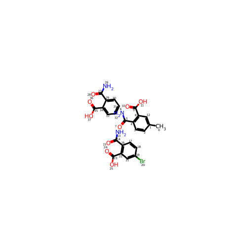 Cc1ccc(C(N)=O)c(C(=O)O)c1.NC(=O)c1ccc(Br)cc1C(=O)O.NC(=O)c1ccccc1C(=O)O